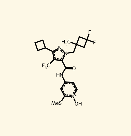 CSc1cc(NC(=O)c2c(C(F)(F)F)c(C3CCC3)nn2CC2(C)CC(F)(F)C2)cc[n+]1O